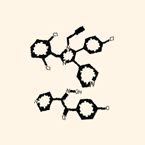 C#CCn1c(-c2c(Cl)cccc2Cl)nc(-c2ccncc2)c1-c1ccc(Cl)cc1.O=C(C(=NO)c1ccncc1)c1ccc(Cl)cc1